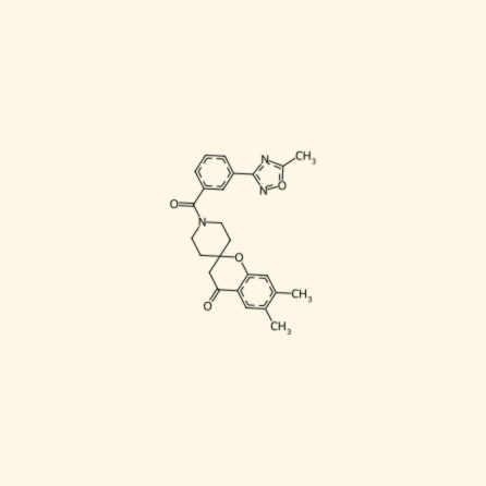 Cc1nc(-c2cccc(C(=O)N3CCC4(CC3)CC(=O)c3cc(C)c(C)cc3O4)c2)no1